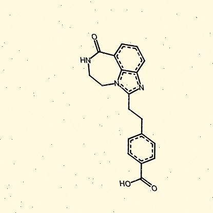 O=C(O)c1ccc(CCc2nc3cccc4c3n2CCNC4=O)cc1